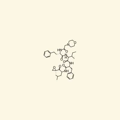 CCC(C)[C@H](NC(=O)[C@H](CCc1ccccc1)NC(=O)CN1CCOCC1)C(=O)N[C@@H](Cc1ccccc1)C(=O)NC(CC(C)C)C(=O)[C@@]1(C)CO1